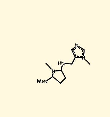 CNC1CCC(NCc2cncn2C)N1C